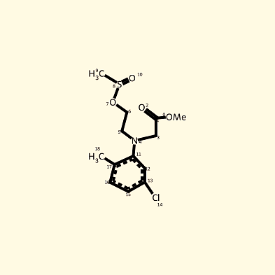 COC(=O)CN(CCOS(C)=O)c1cc(Cl)ccc1C